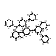 C1=CCCC(N(c2ccc(-c3ccccc3)cc2)c2cccc3oc4cc(-c5nc(-c6ccccc6)c6ccccc6n5)ccc4c23)=C1